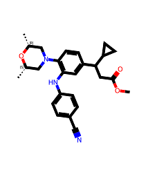 COC(=O)CC(c1ccc(N2C[C@@H](C)O[C@@H](C)C2)c(Nc2ccc(C#N)cc2)c1)C1CC1